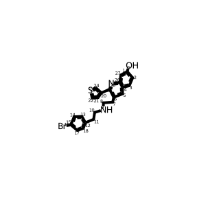 Oc1ccc2cc(CCNCCc3ccc(Br)cc3)c(-c3ccsc3)nc2c1